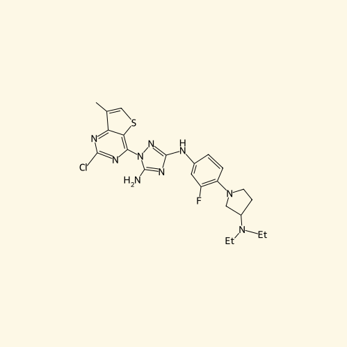 CCN(CC)C1CCN(c2ccc(Nc3nc(N)n(-c4nc(Cl)nc5c(C)csc45)n3)cc2F)C1